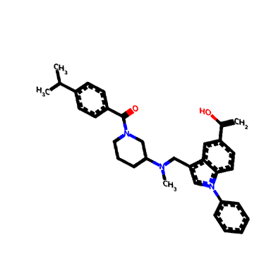 C=C(O)c1ccc2c(c1)c(CN(C)C1CCCN(C(=O)c3ccc(C(C)C)cc3)C1)cn2-c1ccccc1